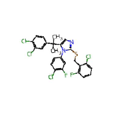 CC(C)(c1ccc(Cl)c(Cl)c1)c1cnc(SCc2c(F)cccc2Cl)n1-c1ccc(Cl)c(F)c1